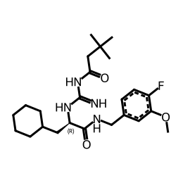 COc1cc(CNC(=O)[C@@H](CC2CCCCC2)NC(=N)NC(=O)CC(C)(C)C)ccc1F